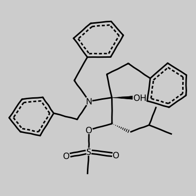 CC(C)C[C@H](OS(C)(=O)=O)[C@@](O)(CCc1ccccc1)N(Cc1ccccc1)Cc1ccccc1